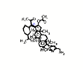 CC(=O)O[C@H]1C[C@@]2(C)[C@@H](C[C@@H](O)[C@H]3[C@@]4(C)CC[C@@H](O)[C@](C)(n5cc(CN)nn5)[C@@H]4CC[C@@]32C)/C1=C(/C(C)=O)C1CCCC(=C(C)C)C1